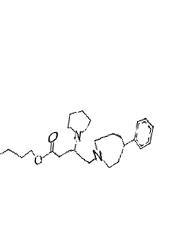 CCCCOC(=O)CC(CN1CCC(c2ccccc2)CC1)N1CCCCC1